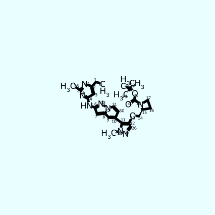 CCc1cc(Nc2cc3cc(-c4c(OC[C@@H]5CCN5C(=O)OC(C)(C)C)cnn4C)ccn3n2)nc(C)n1